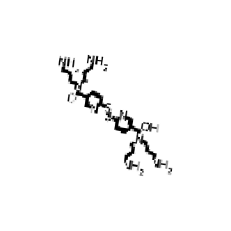 NCCCN(CCCN)C(=O)c1ccc(SSc2ccc(C(O)N(CCCN)CCCN)cn2)nc1